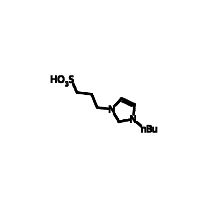 CCCCN1C=CN(CCCS(=O)(=O)O)C1